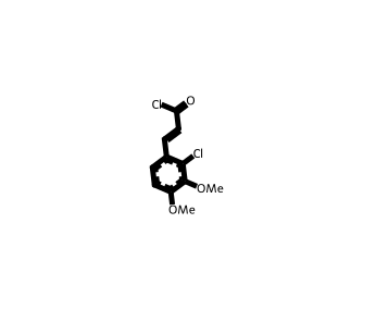 COc1ccc(C=CC(=O)Cl)c(Cl)c1OC